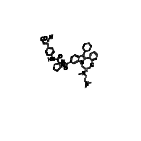 CN(C)CCN(C)[C@H]1COc2ccccc2-c2c(C3CCCCC3)c3ccc(C(=O)NC4(C(=O)Nc5ccc(C=CC(=O)O)cc5)CCCC4)cc3n2C1